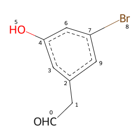 O=CCc1cc(O)cc(Br)c1